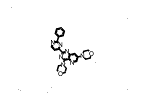 c1ccc(-c2nccc(-c3nc(N4CCOCC4)c4ncc(N5CCOCC5)cc4n3)n2)cc1